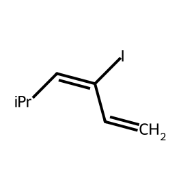 C=C/C(I)=C\C(C)C